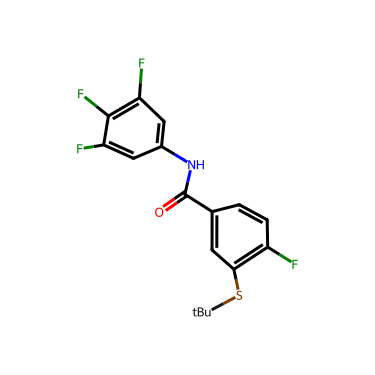 CC(C)(C)Sc1cc(C(=O)Nc2cc(F)c(F)c(F)c2)ccc1F